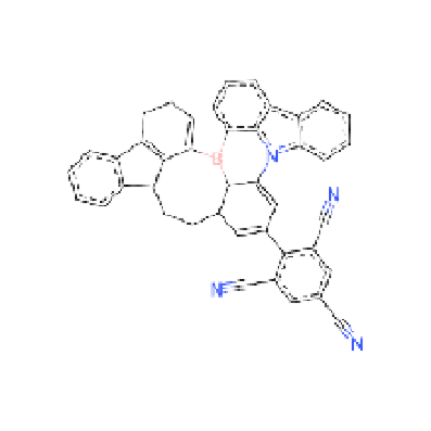 N#Cc1cc(C#N)c(C2=CC3CCC4C5=C(CCC=C5B5c6cccc7c8ccccc8n(c67)C(=C2)C53)c2ccccc24)c(C#N)c1